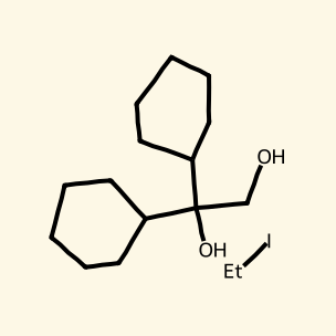 CCI.OCC(O)(C1CCCCC1)C1CCCCC1